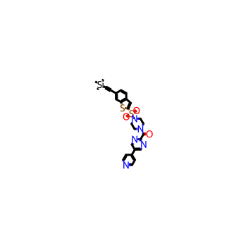 C[Si](C)(C)C#Cc1ccc2cc(S(=O)(=O)N3CCN(C(=O)c4ncc(-c5ccncc5)cn4)CC3)sc2c1